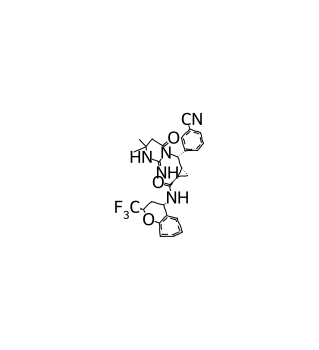 CC1(C)CC(=O)N([C@H](c2cccc(C#N)c2)[C@@H]2C[C@H]2C(=O)N[C@H]2C[C@H](C(F)(F)F)Oc3ccccc32)C(=N)N1